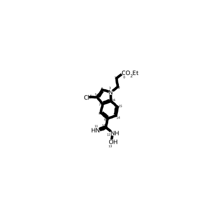 CCOC(=O)CCn1cc(Cl)c2cc(C(=N)NO)ccc21